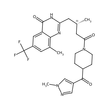 Cc1cc(C(F)(F)F)cc2c(=O)[nH]c(C[C@H](C)CC(=O)N3CCC(C(=O)c4cnn(C)c4)CC3)nc12